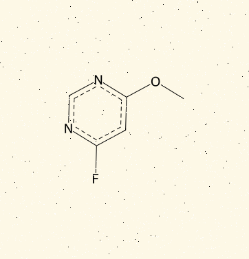 COc1cc(F)ncn1